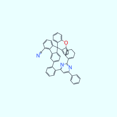 N#Cc1cccc2c1-c1cc(-c3ccccc3-c3cc(-c4ccccc4)nc(C4=CCCC=C4)n3)ccc1C21c2ccccc2Oc2ccccc21